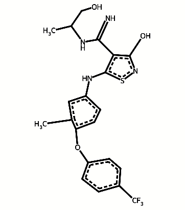 Cc1cc(Nc2snc(O)c2C(=N)NC(C)CO)ccc1Oc1ccc(C(F)(F)F)cc1